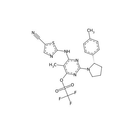 Cc1ccc([C@@H]2CCCN2c2nc(Nc3ncc(C#N)s3)c(C)c(OS(=O)(=O)C(F)(F)F)n2)cc1